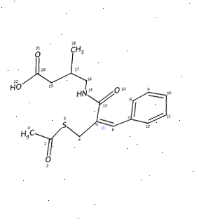 CC(=O)SC/C(=C/c1ccccc1)C(=O)NCC(C)CC(=O)O